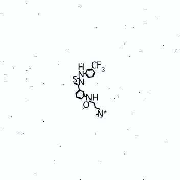 C[N+](C)(C)CCCC(=O)Nc1cccc(-c2csc(Nc3cccc(C(F)(F)F)c3)n2)c1